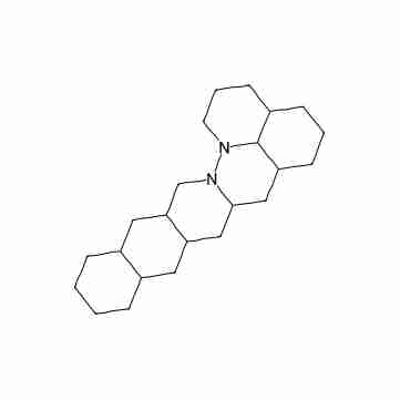 C1CCC2CC3CN4C(CC3CC2C1)CC1CCCC2CCCN4C21